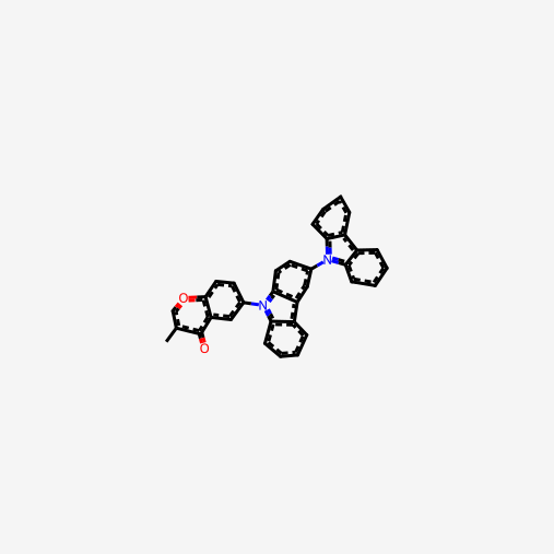 Cc1coc2ccc(-n3c4ccccc4c4cc(-n5c6ccccc6c6ccccc65)ccc43)cc2c1=O